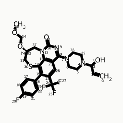 C=CC(O)N1CCN(c2nc(=O)n3c4c(c(-c5ccc(F)cc5)c(C(F)(F)F)cc24)SC[C@@H](OCOC)C3)CC1